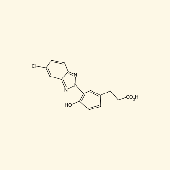 O=C(O)CCc1ccc(O)c(-n2nc3ccc(Cl)cc3n2)c1